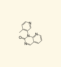 Cc1ccncc1-n1c(=O)ncc2cccnc21